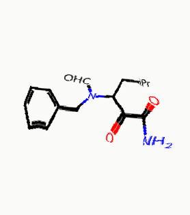 CC(C)CC(C(=O)C(N)=O)N(C=O)Cc1ccccc1